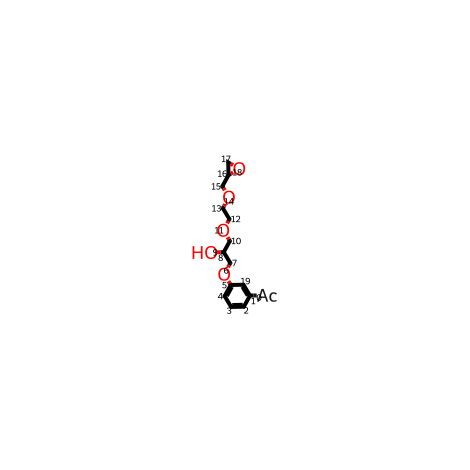 CC(=O)c1cccc(OCC(O)COCCOCC2CO2)c1